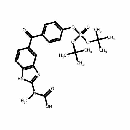 CN(C(=O)O)c1nc2cc(C(=O)c3ccc(OP(=O)(OC(C)(C)C)OC(C)(C)C)cc3)ccc2[nH]1